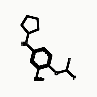 COc1cc(NC2CCCC2)ccc1OC(F)F